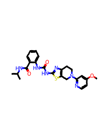 COc1ccnc(N2CCc3nc(NC(=O)Nc4ccccc4C(=O)NC(C)C)sc3C2)c1